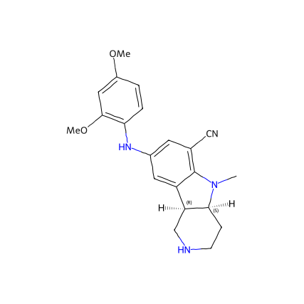 COc1ccc(Nc2cc(C#N)c3c(c2)[C@@H]2CNCC[C@@H]2N3C)c(OC)c1